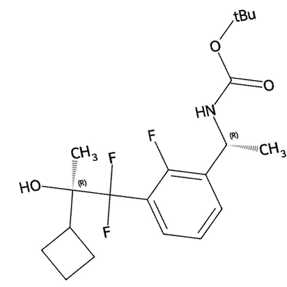 C[C@@H](NC(=O)OC(C)(C)C)c1cccc(C(F)(F)[C@](C)(O)C2CCC2)c1F